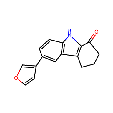 O=C1CCCc2c1[nH]c1ccc(-c3ccoc3)cc21